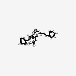 CCCCOC(=O)CNCP(=O)(SCCCc1ccccc1)SCCCc1ccccc1